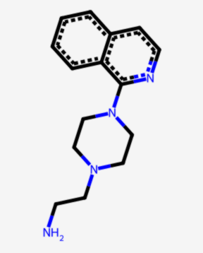 NCCN1CCN(c2nccc3ccccc23)CC1